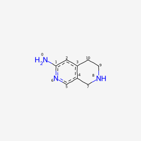 Nc1cc2c(cn1)CNCC2